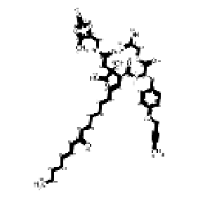 CC#CCOc1ccc(C[C@H](NC(=O)[C@@H](/C=C/CCCCCCC(=O)CCCCCCC)[C@@](O)(CC(=O)OCc2oc(=O)oc2C)C(=O)O)C(=O)OCC(=O)O)cc1